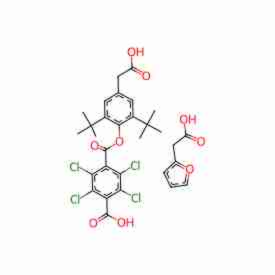 CC(C)(C)c1cc(CC(=O)O)cc(C(C)(C)C)c1OC(=O)c1c(Cl)c(Cl)c(C(=O)O)c(Cl)c1Cl.O=C(O)Cc1ccco1